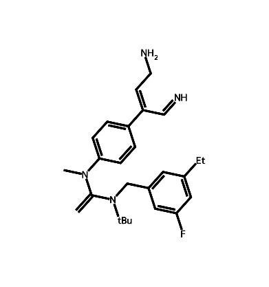 C=C(N(C)c1ccc(/C(C=N)=C/CN)cc1)N(Cc1cc(F)cc(CC)c1)C(C)(C)C